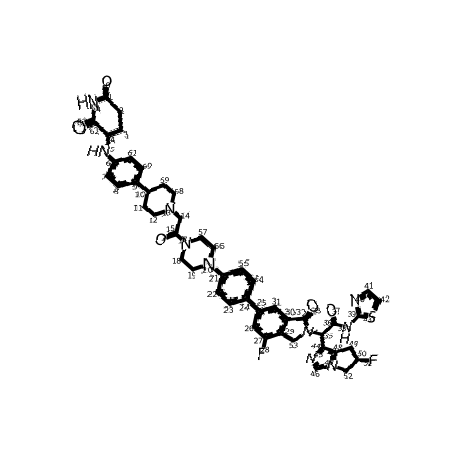 O=C1CCC(Nc2ccc(C3CCN(CC(=O)N4CCN(c5ccc(-c6cc(F)c7c(c6)C(=O)N(C(C(=O)Nc6nccs6)c6ncn8c6CC(F)C8)C7)cc5)CC4)CC3)cc2)C(=O)N1